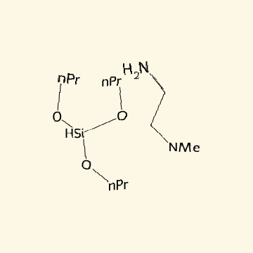 CCCO[SiH](OCCC)OCCC.CNCCN